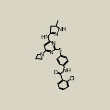 CC1CC(Nc2cc(N3CCC3)nc(Sc3ccc(NC(=O)c4ccccc4Cl)cc3)n2)=NN1